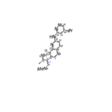 CN/C=C(\C(C)=N)c1cnc2ccc(Nc3cc(C(C)C)cnn3)nc2c1C